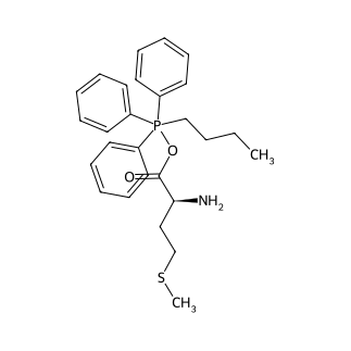 CCCCP(OC(=O)[C@@H](N)CCSC)(c1ccccc1)(c1ccccc1)c1ccccc1